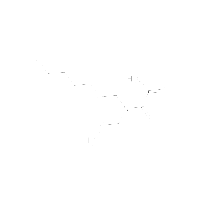 C=C(C)C(=O)N(COC)COCCCCC